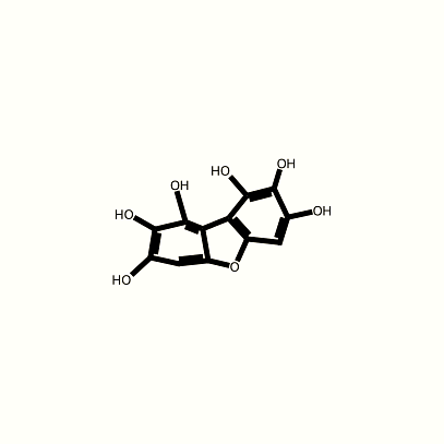 Oc1cc2oc3cc(O)c(O)c(O)c3c2c(O)c1O